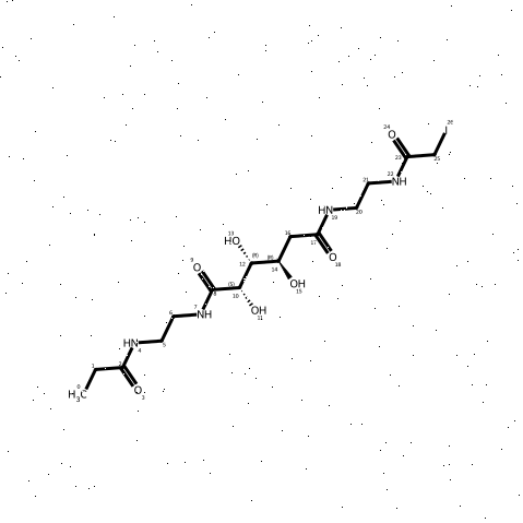 CCC(=O)NCCNC(=O)[C@@H](O)[C@H](O)[C@H](O)CC(=O)NCCNC(=O)CI